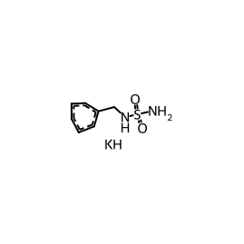 NS(=O)(=O)NCc1ccccc1.[KH]